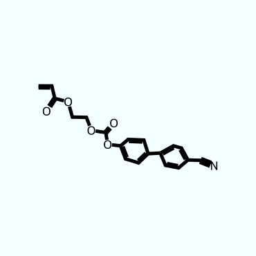 C=CC(=O)OCCOC(=O)Oc1ccc(-c2ccc(C#N)cc2)cc1